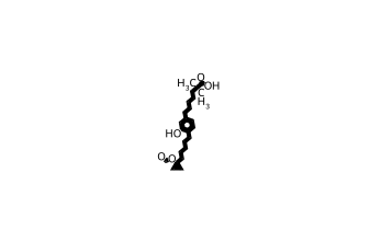 CC(C)(CCCCCc1ccc(CCCCCC2(OC=O)CC2)c(O)c1)C(=O)O